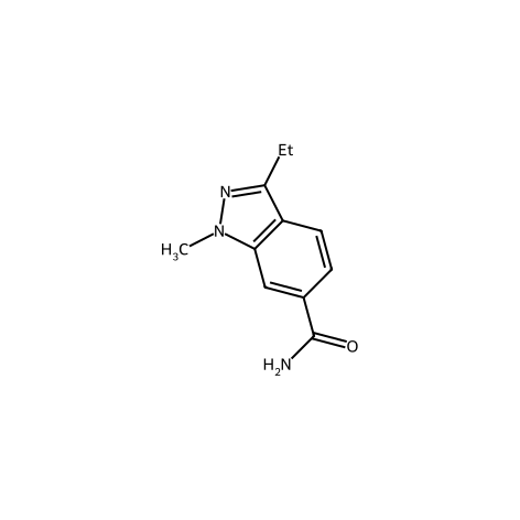 CCc1nn(C)c2cc(C(N)=O)ccc12